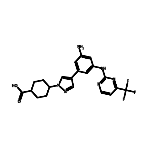 Nc1cc(Nc2nccc(C(F)(F)F)n2)cc(-c2cnn(C3CCC(C(=O)O)CC3)c2)c1